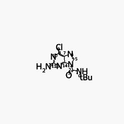 CC(C)(C)NC(=O)n1cnc2c(Cl)nc(N)nc21